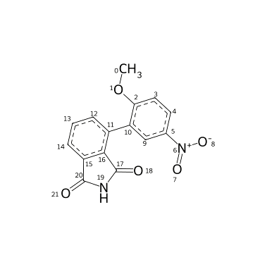 COc1ccc([N+](=O)[O-])cc1-c1cccc2c1C(=O)NC2=O